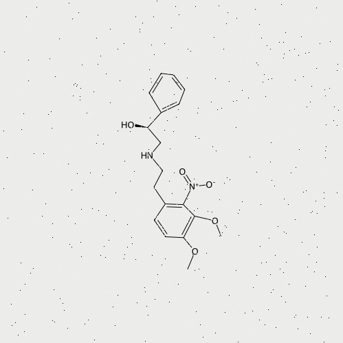 COc1ccc(CCNC[C@@H](O)c2ccccc2)c([N+](=O)[O-])c1OC